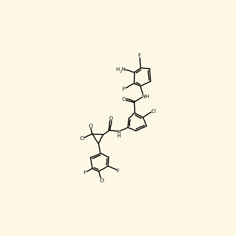 Nc1c(F)ccc(NC(=O)c2cc(NC(=O)C3C(c4cc(F)c(Cl)c(F)c4)C3(Cl)Cl)ccc2Cl)c1F